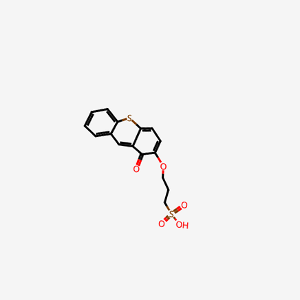 O=c1c(OCCCS(=O)(=O)O)ccc2sc3ccccc3cc1-2